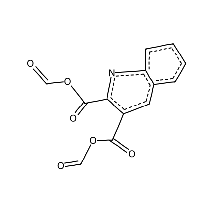 O=COC(=O)c1cc2ccccc2nc1C(=O)OC=O